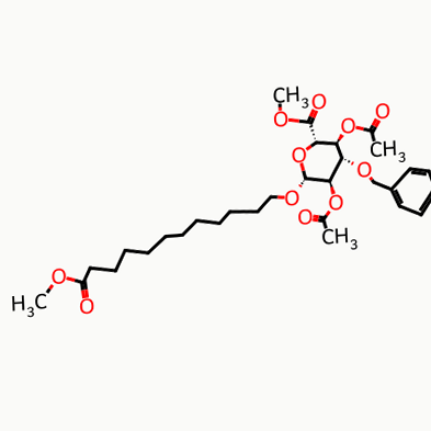 COC(=O)CCCCCCCCCCCO[C@@H]1O[C@H](C(=O)OC)[C@@H](OC(C)=O)[C@H](OCc2ccccc2)[C@H]1OC(C)=O